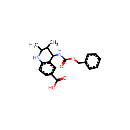 CC1Nc2ccc(C(=O)O)cc2C(NC(=O)OCc2ccccc2)C1C